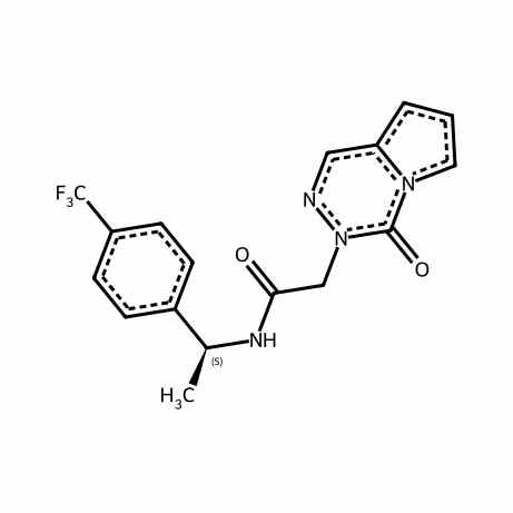 C[C@H](NC(=O)Cn1ncc2cccn2c1=O)c1ccc(C(F)(F)F)cc1